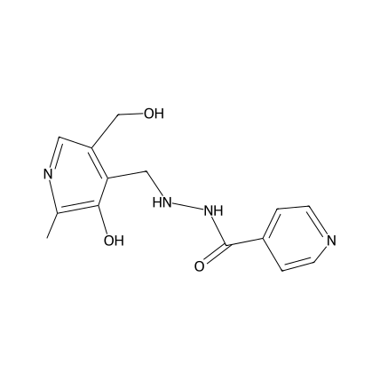 Cc1ncc(CO)c(CNNC(=O)c2ccncc2)c1O